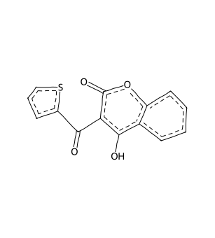 O=C(c1cccs1)c1c(O)c2ccccc2oc1=O